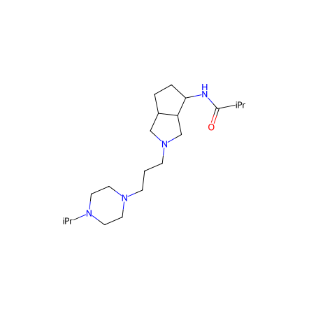 CC(C)C(=O)NC1CCC2CN(CCCN3CCN(C(C)C)CC3)CC21